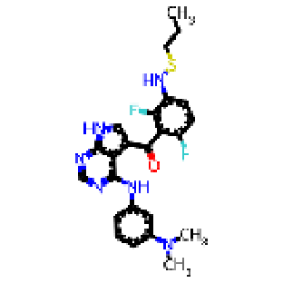 CCCSNc1ccc(F)c(C(=O)c2c[nH]c3ncnc(Nc4cccc(N(C)C)c4)c23)c1F